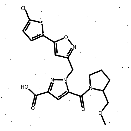 COCC1CCCN1C(=O)c1cc(C(=O)O)nn1Cc1cc(-c2ccc(Cl)s2)on1